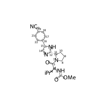 COC(=O)N[C@H](C(=O)N1CCC[C@H]1c1ncc(-c2ccc(C#N)cc2)[nH]1)C(C)C